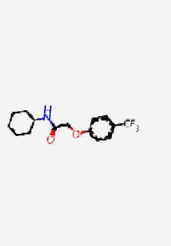 O=C(COc1ccc(C(F)(F)F)cc1)NC1CCCCC1